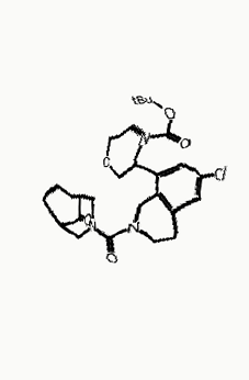 CC(C)(C)OC(=O)N1CCOCC1c1cc(Cl)cc2c1CN(C(=O)N1CC3CCC(C1)C3=O)CC2